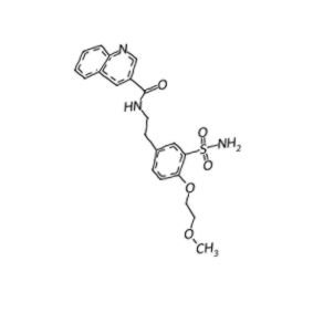 COCCOc1ccc(CCNC(=O)c2cnc3ccccc3c2)cc1S(N)(=O)=O